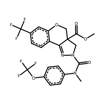 COC(=O)C12COc3cc(C(F)(F)F)ccc3C1=NN(C(=O)N(C)c1ccc(OC(F)(F)F)cc1)C2